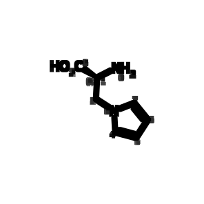 N[C@@H](Cn1cccc1)C(=O)O